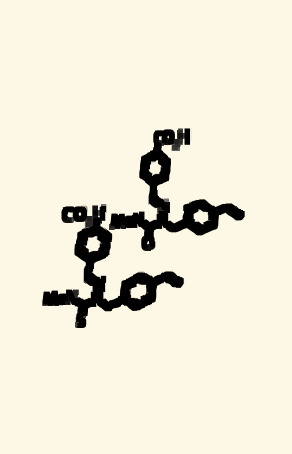 C=Cc1ccc(CN(N=Cc2ccc(C(=O)O)cc2)C(=O)NC)cc1.C=Cc1ccc(CN(N=Cc2ccc(C(=O)O)cc2)C(=S)NC)cc1